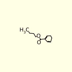 CCCCOC(=O)C1=CCCC=C1